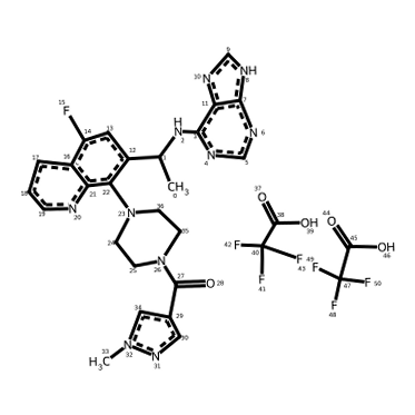 CC(Nc1ncnc2[nH]cnc12)c1cc(F)c2cccnc2c1N1CCN(C(=O)c2cnn(C)c2)CC1.O=C(O)C(F)(F)F.O=C(O)C(F)(F)F